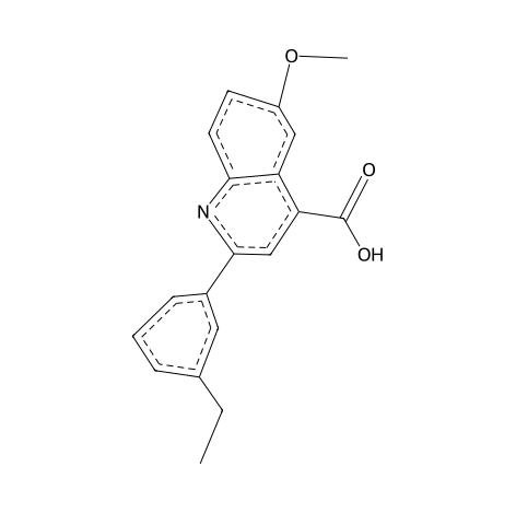 CCc1cccc(-c2cc(C(=O)O)c3cc(OC)ccc3n2)c1